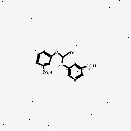 CCCC(Oc1cccc(C(=O)O)c1)Oc1cccc(C(=O)O)c1